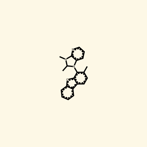 Cc1ccc2c(oc3ccccc32)c1N1c2cccnc2N(C)C1C